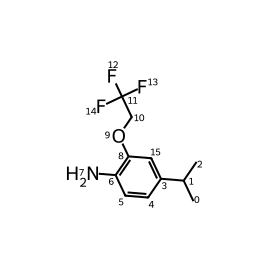 CC(C)c1ccc(N)c(OCC(F)(F)F)c1